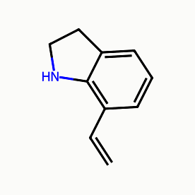 C=Cc1cccc2c1NCC2